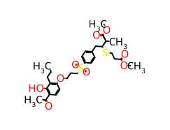 CCCc1c(OCCCS(=O)(=O)c2ccc(CC(SCCC(=O)OC)C(C)C(=O)OC)cc2)ccc(C(C)=O)c1O